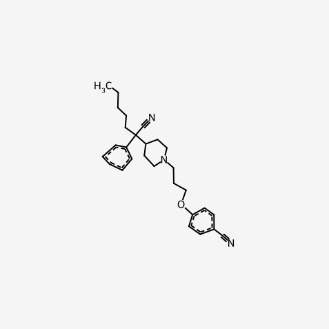 CCCCCC(C#N)(c1ccccc1)C1CCN(CCCOc2ccc(C#N)cc2)CC1